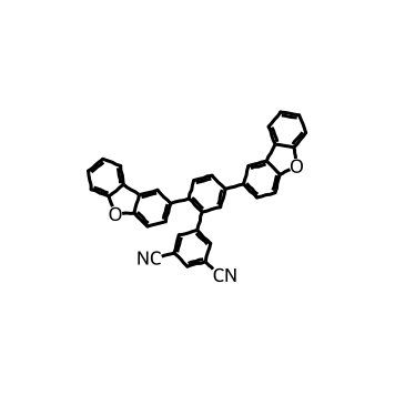 N#Cc1cc(C#N)cc(-c2cc(-c3ccc4oc5ccccc5c4c3)ccc2-c2ccc3oc4ccccc4c3c2)c1